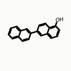 Oc1cccc2cc(-c3ccc4ccccc4c3)ccc12